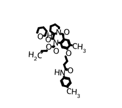 C=CCOC(=O)N1c2cc(OCCCC(=O)Nc3ccc(C)cc3)c(C)cc2C(=O)N2CCCC[C@H]2C1OC1CCCCO1